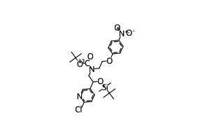 CC(C)(C)O[13C](=O)N(CCOc1ccc([N+](=O)[O-])cc1)CC(O[Si](C)(C)C(C)(C)C)c1ccc(Cl)nc1